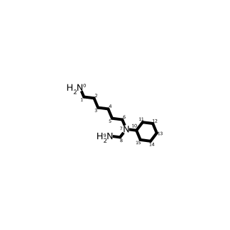 NCCCCCCN(CN)C1CCCCC1